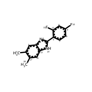 Cc1cc2nc(-c3ccc(F)cc3F)[nH]c2cc1C